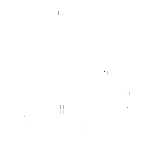 O=C(N[C@@H]1CN2CCC1CC2)c1cc(-c2ccc(O)cc2)nc2[nH]ncc12